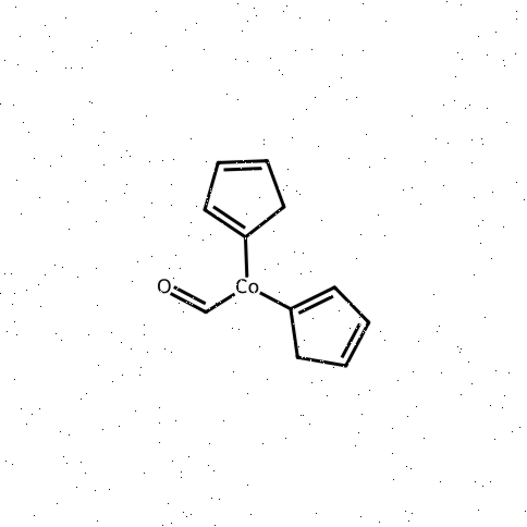 O=[CH][Co]([C]1=CC=CC1)[C]1=CC=CC1